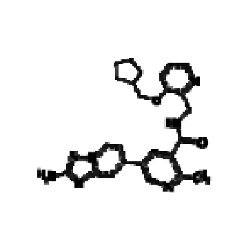 Cc1ncc(-c2ccn3nc(N)nc3c2)cc1C(=O)NCc1ncccc1OCC1CCCC1